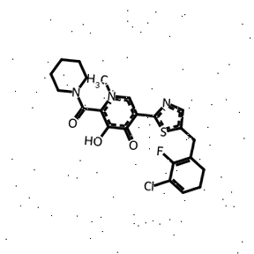 Cn1cc(-c2ncc(CC3=C(F)C(Cl)=CCC3)s2)c(=O)c(O)c1C(=O)N1CCCCC1